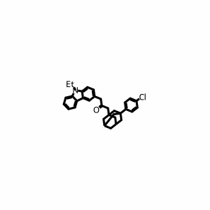 CCn1c2ccccc2c2cc(CC(=O)CC34CC5CC(C3)CC(c3ccc(Cl)cc3)(C5)C4)ccc21